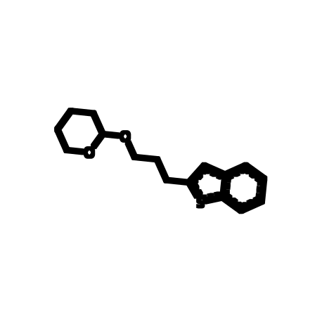 c1ccc2sc(CCCOC3CCCCO3)cc2c1